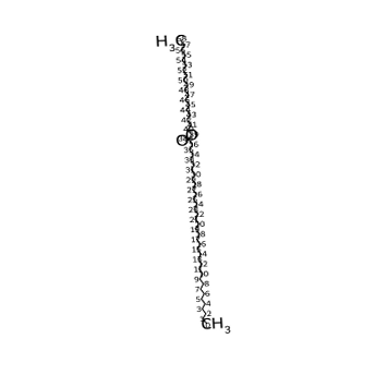 CCCCCCCCCCCCCCCCCCCCCCCCCCCCCCCCCCCCCC(=O)OCCCCCCCCCCCCCCCCCCC